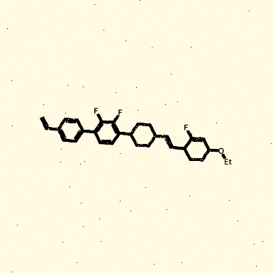 C=Cc1ccc(-c2ccc(C3CCC(/C=C/C4CCC(OCC)C=C4F)CC3)c(F)c2F)cc1